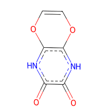 O=c1[nH]c2c([nH]c1=O)OC=CO2